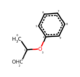 C[C](C=O)Oc1ccccc1